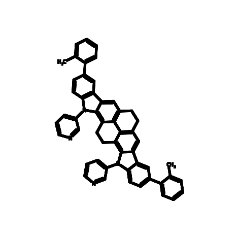 Cc1ccccc1-c1ccc2c(c1)c1cc3c4c(c1n2-c1cccnc1)CCc1c-4c(cc2c4cc(-c5ccccc5C)ccc4n(-c4cccnc4)c12)CC3